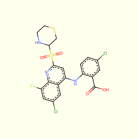 O=C(O)c1cc(Cl)ccc1Nc1cc(S(=O)(=O)C2CSCCN2)nc2c(F)cc(Cl)cc12